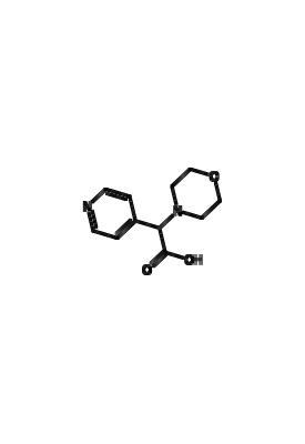 O=C(O)C(c1ccncc1)N1CCOCC1